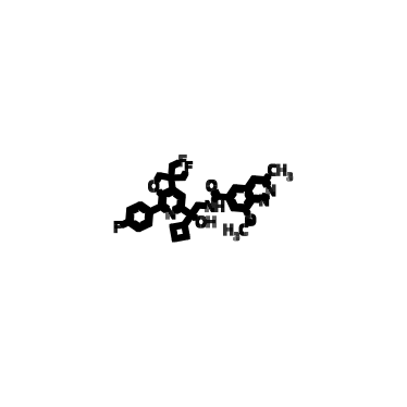 COc1cc(C(=O)NCC(O)(c2cc3c(c(-c4ccc(F)cc4)n2)OCC3(CF)CF)C2CCC2)cc2cc(C)nnc12